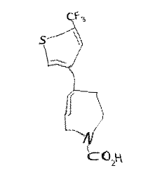 O=C(O)N1CC=C(c2csc(C(F)(F)F)c2)CC1